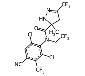 CC1(C(=O)N(CC(F)(F)F)c2c(Cl)cc(C#N)c(C(F)(F)F)c2Cl)CC(C(F)(F)F)=NN1